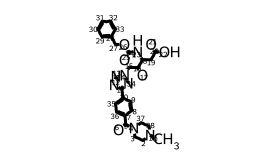 CN1CCN(C(=O)c2ccc(-c3nnn(CC(=O)C(CC(=O)O)NC(=O)OCc4ccccc4)n3)cc2)CC1